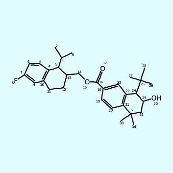 CC(C)C1c2ccc(F)cc2CCC1COC(=O)c1ccc2c(c1)C(C(C)(C)C)C(O)CC2(C)C